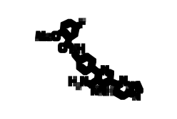 COc1ccc(F)cc1C(=O)NCc1ccc(-c2ncc(-c3ccc4nccn4n3)c3[nH]nc(N)c23)cc1